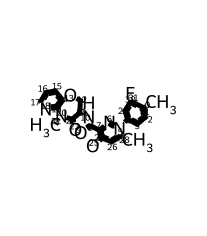 Cc1ccc(-n2nc(C(=O)N[C@H]3COc4cccnc4N(C)C3=O)c(=O)cc2C)cc1F